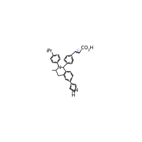 CC(C)c1ccc(N2C(C)Cc3cc(-c4cn[nH]c4)ccc3C2c2ccc(/C=C/C(=O)O)cc2)cc1